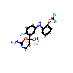 C[C@]1(c2cc(Nc3ccccc3OC(F)F)ccc2F)OC(N)=NC[C@H]1F